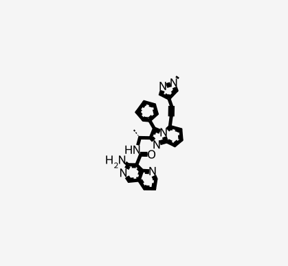 C[C@@H](NC(=O)c1c(N)ncc2cccnc12)c1nc2cccc(C#Cc3cnn(C)c3)n2c1-c1ccccc1